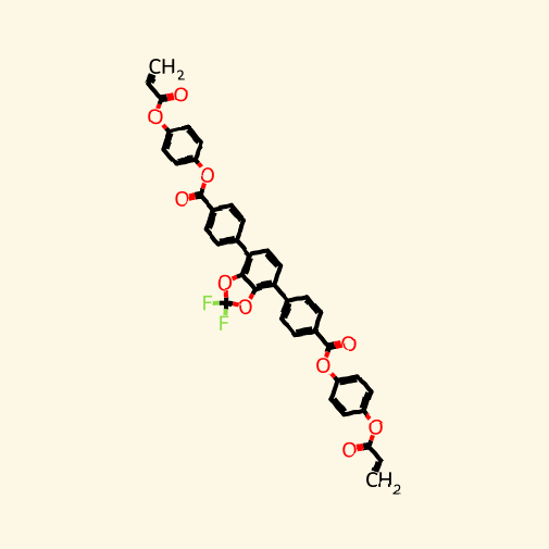 C=CC(=O)Oc1ccc(OC(=O)c2ccc(-c3ccc(-c4ccc(C(=O)Oc5ccc(OC(=O)C=C)cc5)cc4)c4c3OC(F)(F)O4)cc2)cc1